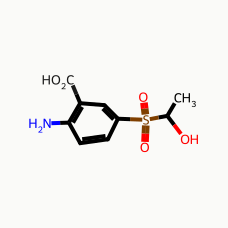 CC(O)S(=O)(=O)c1ccc(N)c(C(=O)O)c1